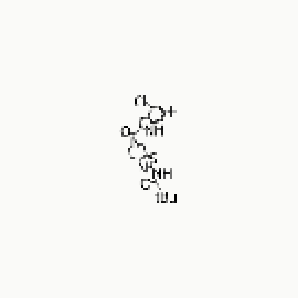 CC(C)(C)CC(=O)Nc1nc2c(s1)CN(C(=O)c1cc3c(Cl)cc(F)cc3[nH]1)CC2